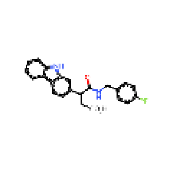 O=C(O)CC(C(=O)NCc1ccc(F)cc1)c1ccc2c(c1)[nH]c1ccccc12